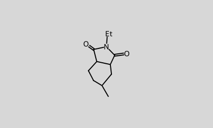 [CH2]CN1C(=O)C2CCC(C)CC2C1=O